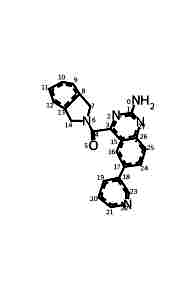 Nc1nc(C(=O)N2Cc3ccccc3C2)c2cc(-c3cccnc3)ccc2n1